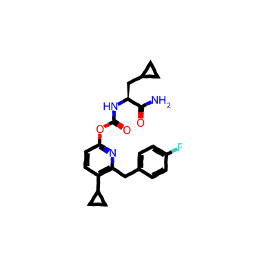 NC(=O)[C@H](CC1CC1)NC(=O)Oc1ccc(C2CC2)c(Cc2ccc(F)cc2)n1